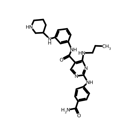 CCCNc1nc(Nc2ccc(C(N)=O)cc2)ncc1C(=O)Nc1cccc(NC2CCCNC2)c1